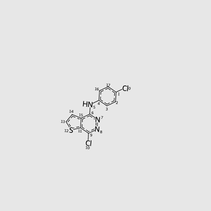 Clc1ccc(Nc2nnc(Cl)c3sccc23)cc1